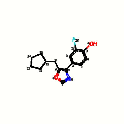 Oc1ccc(-c2ncoc2C[C]2CCCC2)cc1F